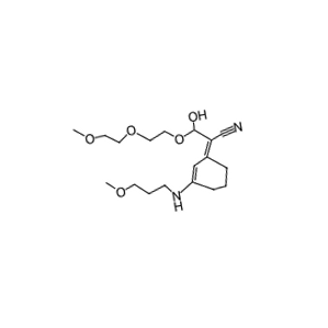 COCCCNC1=C/C(=C(/C#N)C(O)OCCOCCOC)CCC1